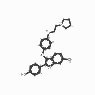 Oc1ccc(-c2sc3cc(O)ccc3c2Oc2ccc(OCCN3CCCC3)cc2)cc1